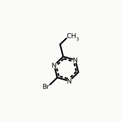 CCc1ncnc(Br)n1